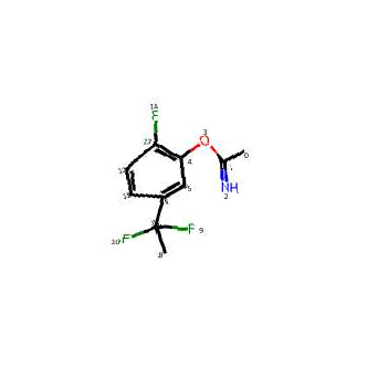 CC(=N)Oc1cc(C(C)(F)F)ccc1F